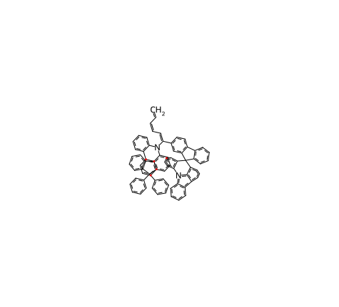 C=C/C=C\C=C(\c1ccc2c(c1)C1(c3ccccc3-2)c2ccccc2-n2c3ccccc3c3cccc1c32)N(c1ccccc1-c1ccccc1)c1cccc2c1-c1ccccc1C2(c1ccccc1)c1ccccc1